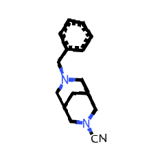 N#CN1CC2CC(C1)CN(Cc1ccccc1)C2